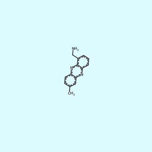 Cc1ccc2nc3c(CN)cccc3nc2c1